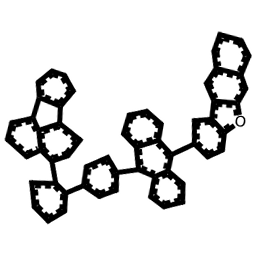 c1ccc(-c2ccc3c4c(cccc24)-c2ccccc2-3)c(-c2ccc(-c3c4ccccc4c(-c4ccc5oc6cc7ccccc7cc6c5c4)c4ccccc34)cc2)c1